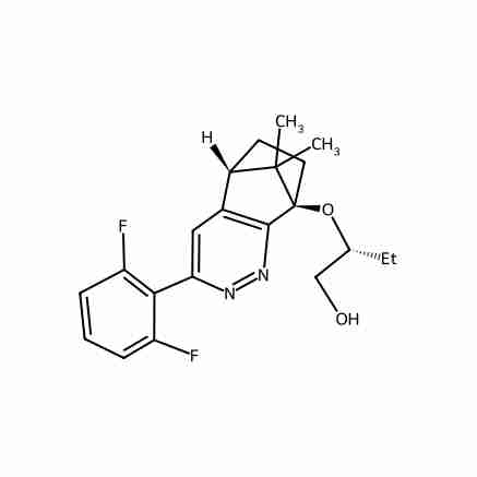 CC[C@H](CO)O[C@@]12CC[C@@H](c3cc(-c4c(F)cccc4F)nnc31)C2(C)C